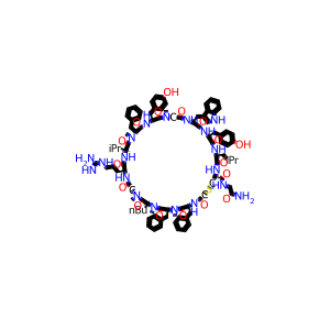 CCCC[C@H]1C(=O)N(C)CC(=O)N[C@@H](CCCNC(=N)N)C(=O)N[C@@H](C(C)C)C(=O)N(C)C(Cc2ccccc2)C(=O)N[C@@H](Cc2ccc(O)cc2)C(=O)N(C)CC(=O)N[C@@H](Cc2c[nH]c3ccccc23)C(=O)N[C@@H](Cc2ccc(O)cc2)C(=O)N[C@@H](CC(C)C)C(=O)N[C@H](C(=O)NCC(N)=O)CSCC(=O)N[C@@H](Cc2ccccc2)C(=O)N(C)[C@@H](Cc2ccccc2)C(=O)N1C